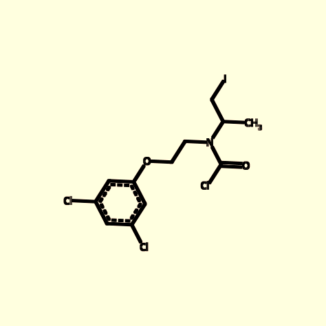 CC(CI)N(CCOc1cc(Cl)cc(Cl)c1)C(=O)Cl